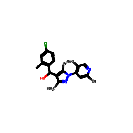 CCOC(=O)c1nn(-c2cc(C#N)ncc2OC)c(C(C)C)c1C(O)c1ccc(Cl)cc1C